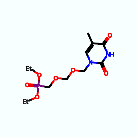 CCOP(=O)(COCOCn1cc(C)c(=O)[nH]c1=O)OCC